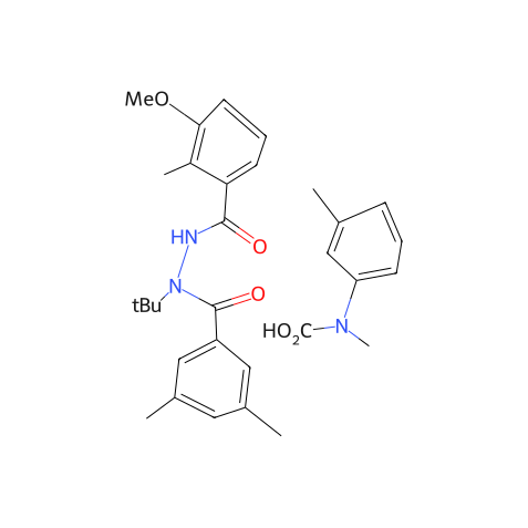 COc1cccc(C(=O)NN(C(=O)c2cc(C)cc(C)c2)C(C)(C)C)c1C.Cc1cccc(N(C)C(=O)O)c1